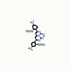 CNc1cc(N(C)C)ccc1C1=CC2=CC(c3ccc(N(C)C)cc3NC)=NC3=NC=NC(=N1)N23